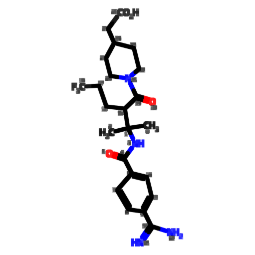 CC(C)(NC(=O)c1ccc(C(=N)N)cc1)C(CCC(F)(F)F)C(=O)N1CCC(CC(=O)O)CC1